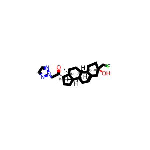 C[C@]12CC[C@H]3[C@@H](CC=C4C[C@@](O)(CF)CC[C@@H]43)[C@@H]1CC[C@@H]2C(=O)Cn1nccn1